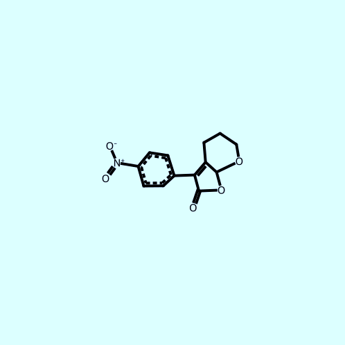 O=C1OC2OCCCC2=C1c1ccc([N+](=O)[O-])cc1